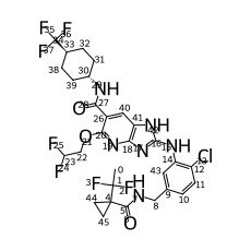 CC(F)(F)C1(C(=O)NCc2ccc(Cl)c(Nc3nc4nc(OCC(F)F)c(C(=O)N[C@H]5CC[C@H](C(F)(F)F)CC5)cc4[nH]3)c2)CC1